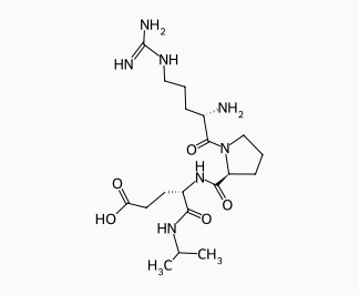 CC(C)NC(=O)[C@H](CCC(=O)O)NC(=O)[C@@H]1CCCN1C(=O)[C@@H](N)CCCNC(=N)N